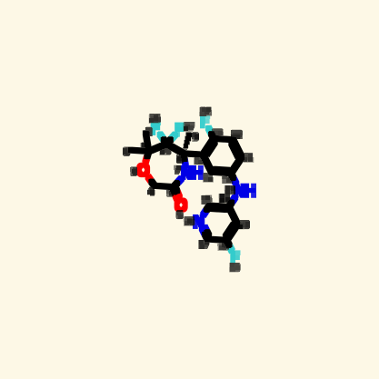 CC1(C)OCC(=O)N[C@](C)(c2cc(Nc3cncc(F)c3)ccc2F)C1(F)F